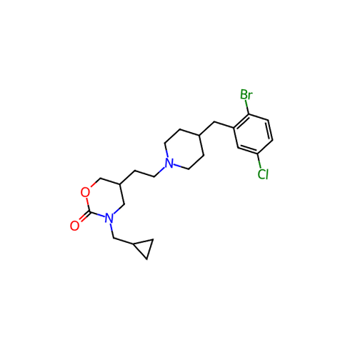 O=C1OCC(CCN2CCC(Cc3cc(Cl)ccc3Br)CC2)CN1CC1CC1